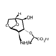 CC(=O)N[C@H]1C2OC[C@@H](O2)[C@@H](O)[C@@H]1O[C@H](C)C(=O)O